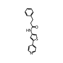 O=C(CCc1ccccc1)Nc1csc(-c2ccncc2)c1